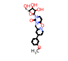 COc1cccc(-c2ccnc(Cn3c(=O)ccn([C@@H]4O[C@H](CO)C(O)C4O)c3=O)c2)c1